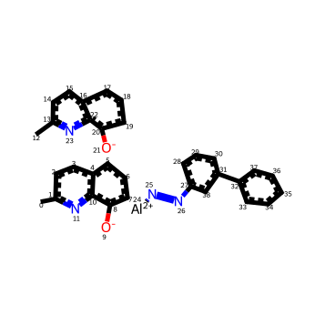 Cc1ccc2cccc([O-])c2n1.Cc1ccc2cccc([O-])c2n1.[Al+2][N]=Nc1cccc(-c2ccccc2)c1